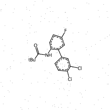 CC(C)(C)C(=O)Nc1ccc(F)cc1-c1ccc(Cl)c(Cl)c1